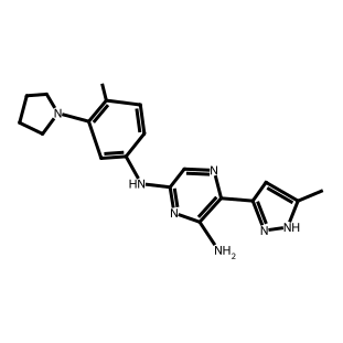 Cc1cc(-c2ncc(Nc3ccc(C)c(N4CCCC4)c3)nc2N)n[nH]1